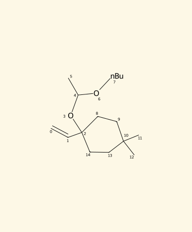 C=CC1(OC(C)OCCCC)CCC(C)(C)CC1